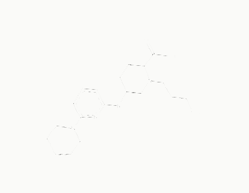 CCCCN1CC(Nc2cccc(N3CCCCC3)n2)CCC1C(=O)O